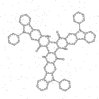 O=c1c2cc3c(cc2[nH]c2c1c1[nH]c4cc5c6ccccc6n(-c6ccccc6)c5cc4c(=O)c1c1[nH]c4cc5c6ccccc6n(-c6ccccc6)c5cc4c(=O)c21)c1ccccc1n3-c1ccccc1